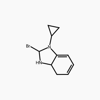 BrC1NC2CC=CC=C2N1C1CC1